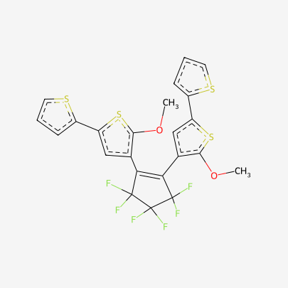 COc1sc(-c2cccs2)cc1C1=C(c2cc(-c3cccs3)sc2OC)C(F)(F)C(F)(F)C1(F)F